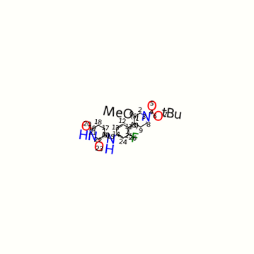 CO[C@@H]1CN(C(=O)OC(C)(C)C)CC[C@H]1c1ccc(N[C@H]2CCC(=O)NC2=O)cc1F